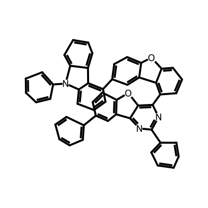 c1ccc(-c2ccc3oc4c(-c5cccc6oc7ccc(-c8cccc9c8c8ccccc8n9-c8ccccc8)cc7c56)nc(-c5ccccc5)nc4c3c2)cc1